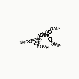 COc1ccc(C(NC(=O)c2ccnc(C(=O)NC(c3ccc(OC)cc3)c3ccc(OC)cc3)c2)c2ccc(OC)cc2)cc1